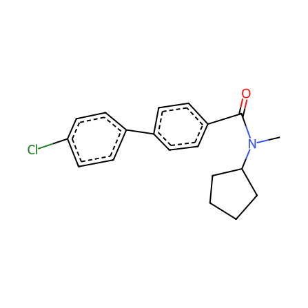 CN(C(=O)c1ccc(-c2ccc(Cl)cc2)cc1)C1CCCC1